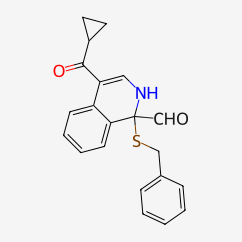 O=CC1(SCc2ccccc2)NC=C(C(=O)C2CC2)c2ccccc21